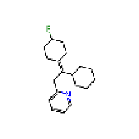 FC1CCC(=C(Cc2ccccn2)C2CCCCC2)CC1